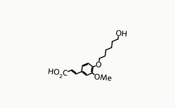 COc1cc(C=CC(=O)O)ccc1OCCCCCCO